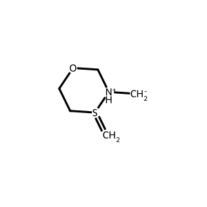 C=S1CCOC[NH+]1[CH2-]